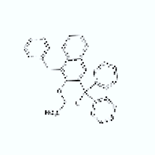 O=C(O)C1Oc2c(cc3ccccc3c2Cc2ccccc2)C(c2ccccc2)(c2ccccc2)O1